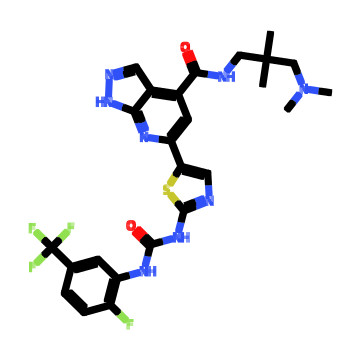 CN(C)CC(C)(C)CNC(=O)c1cc(-c2cnc(NC(=O)Nc3cc(C(F)(F)F)ccc3F)s2)nc2[nH]ncc12